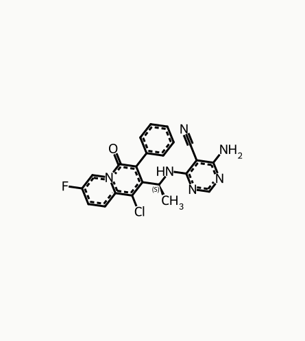 C[C@H](Nc1ncnc(N)c1C#N)c1c(-c2ccccc2)c(=O)n2cc(F)ccc2c1Cl